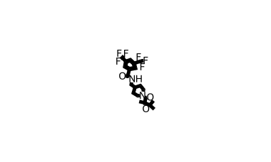 CC1(C)OC1(C)C(=O)N1CCC(CNC(=O)c2cc(C(F)(F)F)cc(C(F)(F)F)c2)CC1